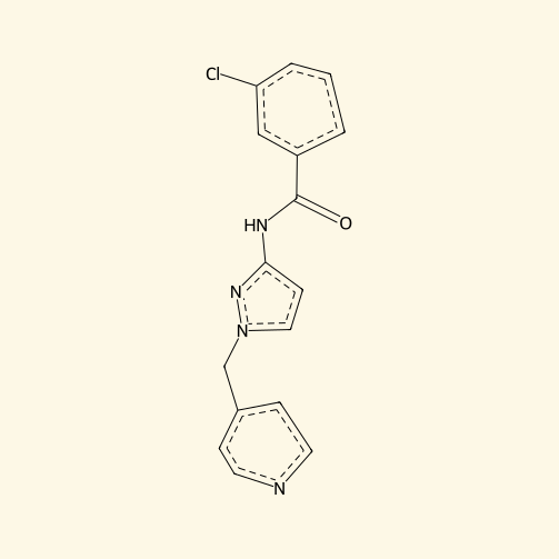 O=C(Nc1ccn(Cc2ccncc2)n1)c1cccc(Cl)c1